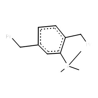 C[Si](C)(C)c1cc(CBr)ccc1CBr